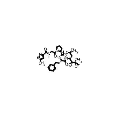 Cc1cc(C(=O)NCC(=O)N2CCC[C@H]2C(=O)N[C@@H](CCc2ccccc2)C(=O)N[C@@H](CC(C)C)C(=O)[C@@]2(C)CO2)no1